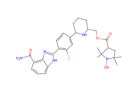 CC1(C)CC(C(=O)OCC2CCCC(c3ccc(-c4nc5c(C(N)=O)cccc5[nH]4)c(F)c3)N2)C(C)(C)N1O